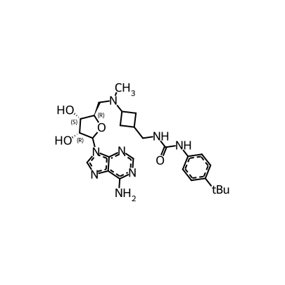 CN(C[C@H]1OC(n2cnc3c(N)ncnc32)[C@H](O)[C@@H]1O)C1CC(CNC(=O)Nc2ccc(C(C)(C)C)cc2)C1